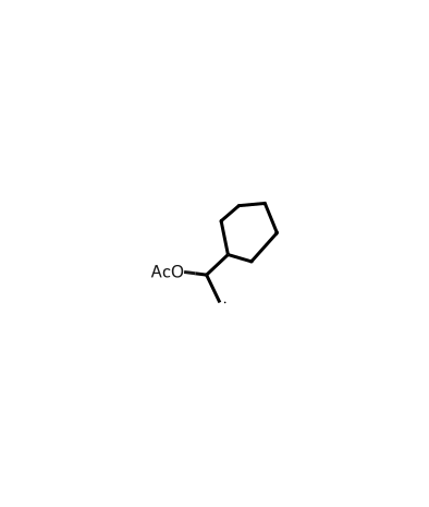 [CH2]C(OC(C)=O)C1CCCCC1